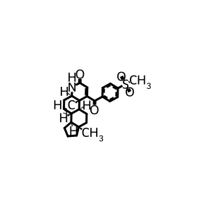 C[C@@]12CCC[C@H]1[C@@H]1CC[C@H]3NC(=O)C=C(C(=O)c4ccc(S(C)(=O)=O)cc4)[C@]3(C)[C@H]1CC2